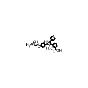 Cc1c(C(=O)O)cccc1-c1nc(-c2ccc(OCCN(C)C)cc2)[nH]c1-c1ccncc1